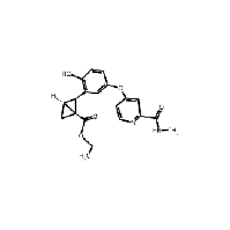 CCOC(=O)[C@@]12C[C@H]1[C@H]2c1cc(Oc2ccnc(C(=O)NC)c2)ccc1O